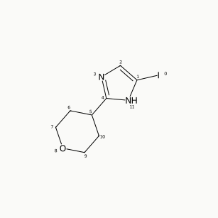 Ic1cnc(C2CCOCC2)[nH]1